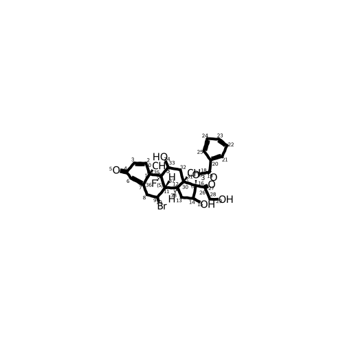 C[C@]12C=CC(=O)C=C1CC(Br)[C@H]1[C@@H]3CC(O)[C@](OC(=O)c4ccccc4)(C(=O)CO)[C@@]3(C)CC(O)[C@@]12F